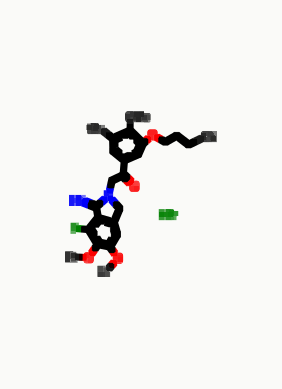 Br.CCOc1cc2c(c(F)c1OCC)C(=N)N(CC(=O)c1cc(OCCCC#N)c(OC)c(C(C)(C)C)c1)C2